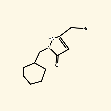 O=c1cc(CBr)[nH]n1CC1CCCCC1